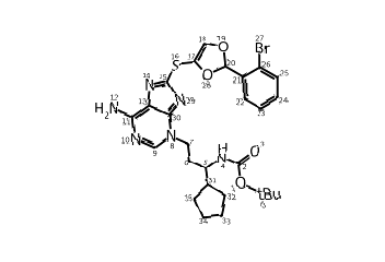 CC(C)(C)OC(=O)NC(CCn1cnc(N)c2nc(SC3=COC(c4ccccc4Br)O3)nc1-2)C1CCCC1